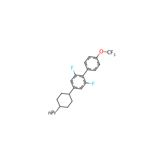 CCCC1CCC(c2cc(F)c(-c3ccc(OC(F)(F)F)cc3)c(F)c2)CC1